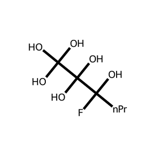 CCCC(O)(F)C(O)(O)C(O)(O)O